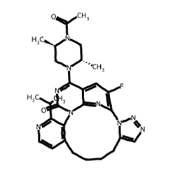 CC(=O)N1C[C@H](C)N(c2nc(=O)n3c4nc(c(F)cc24)-n2nncc2CCCCc2ccnc(C(C)C)c2-3)C[C@H]1C